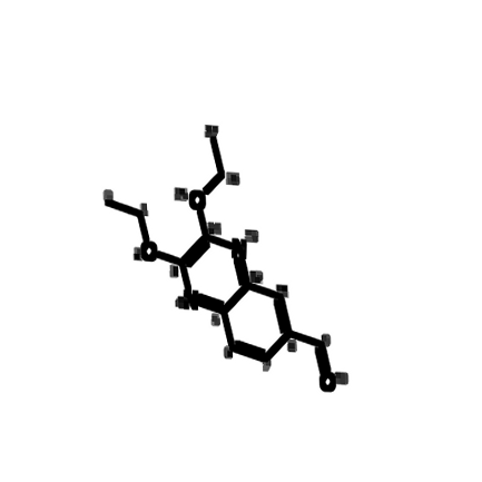 CCOc1nc2ccc(C=O)cc2nc1OCC